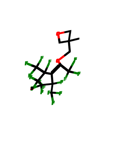 CC1(COC(=C(C(F)(C(F)(F)F)C(F)(F)F)C(F)(C(F)(F)F)C(F)(F)F)C(F)(F)F)COC1